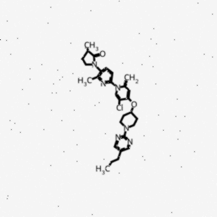 C=C1C=C(OC2CCN(c3ncc(CCC)cn3)CC2)C(Cl)=CN1c1ccc(N2CCC(C)C2=O)c(C)n1